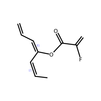 C=C/C=C(\C=C/C)OC(=O)C(=C)F